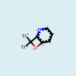 CCC1(CC)Oc2cccnc21